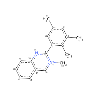 Cc1cc(C)c(C)c(-c2nc3ccccc3c[n+]2C)c1